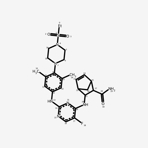 CCS(=O)(=O)N1CCN(c2c(C)cc(Nc3ncc(F)c(NC4C5C=CC(C5)C4C(N)=O)n3)cc2C)CC1